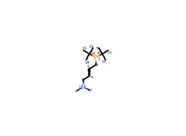 CN(C)CC=CCP(C(C)(C)C)C(C)(C)C